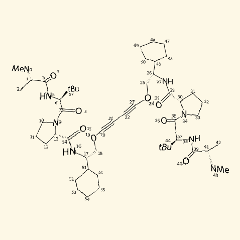 CN[C@@H](C)C(=O)N[C@H](C(=O)N1CCC[C@H]1C(=O)N[C@H](COC#CC#COC[C@@H](NC(=O)[C@@H]1CCCN1C(=O)[C@@H](NC(=O)[C@H](C)NC)C(C)(C)C)C1CCCCC1)C1CCCCC1)C(C)(C)C